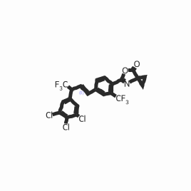 O=C1OC(c2ccc(/C=C/C(c3cc(Cl)c(Cl)c(Cl)c3)C(F)(F)F)cc2C(F)(F)F)=NC12CC2